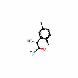 Cc1ccc(C)c(C(C#N)C(=O)C(F)(F)F)c1